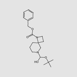 CC(C)(C)OC(O)N1CCCC2(CCN2C(=O)OCc2ccccc2)C1